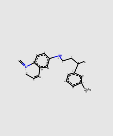 C=Nc1ccc(NCCC(C)c2cccc(OC)c2)cc1/C=C\C